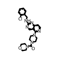 O=C(N1CCOCC1)N1CCN(c2nccc3nc(NCc4ccccc4Cl)ncc23)CC1